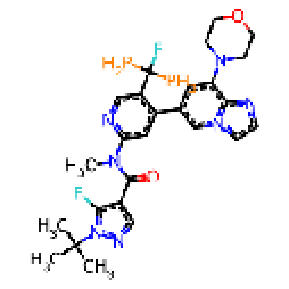 CN(C(=O)c1cnn(C(C)(C)C)c1F)c1cc(-c2cc(N3CCOCC3)c3nccn3c2)c(C(F)(P)P)cn1